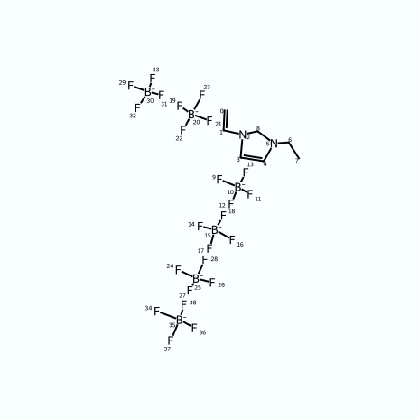 C=CN1C=CN(CC)C1.F[B-](F)(F)F.F[B-](F)(F)F.F[B-](F)(F)F.F[B-](F)(F)F.F[B-](F)(F)F.F[B-](F)(F)F